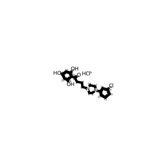 Cl.O=C(CCCN1CCN(c2cccc(Cl)c2)CC1)c1c(O)cc(O)cc1O